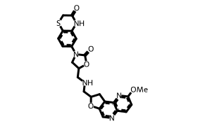 COc1ccc2ncc3c(c2n1)CC(CNCC1CN(c2ccc4c(c2)NC(=O)CS4)C(=O)O1)O3